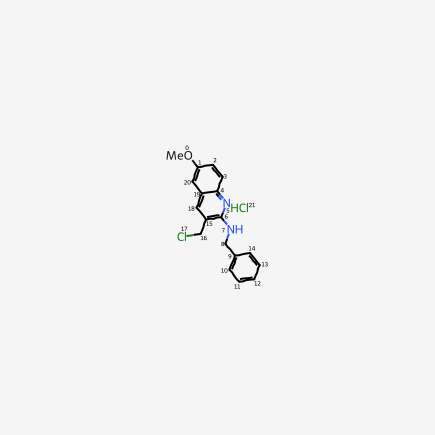 COc1ccc2nc(NCc3ccccc3)c(CCl)cc2c1.Cl